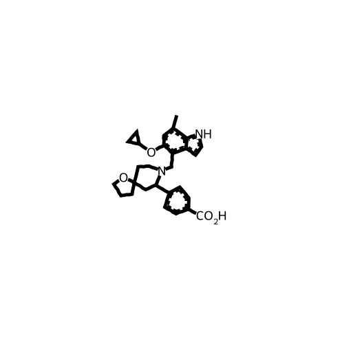 Cc1cc(OC2CC2)c(CN2CCC3(CCCO3)CC2c2ccc(C(=O)O)cc2)c2cc[nH]c12